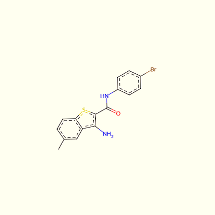 Cc1ccc2sc(C(=O)Nc3ccc(Br)cc3)c(N)c2c1